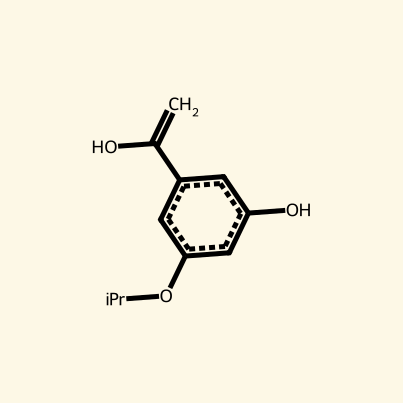 C=C(O)c1cc(O)cc(OC(C)C)c1